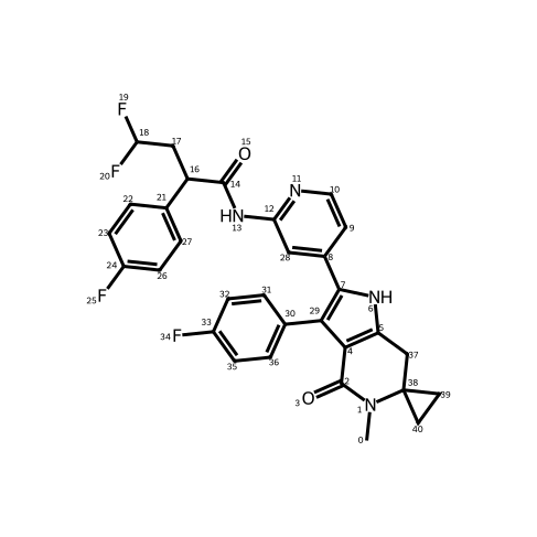 CN1C(=O)c2c([nH]c(-c3ccnc(NC(=O)C(CC(F)F)c4ccc(F)cc4)c3)c2-c2ccc(F)cc2)CC12CC2